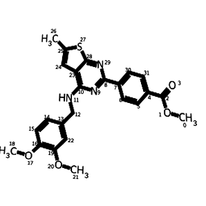 COC(=O)c1ccc(-c2nc(NCc3ccc(OC)c(OC)c3)c3cc(C)sc3n2)cc1